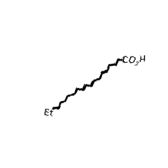 CC/C=C/CCCCCCC/C=C/C/C=C/CCCC(=O)O